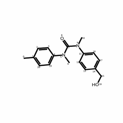 Cc1ccc(N(C)C(=O)N(C)c2ccc(CO)cc2)cc1